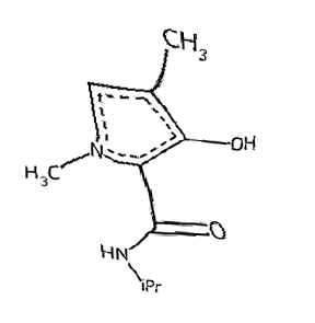 Cc1cn(C)c(C(=O)NC(C)C)c1O